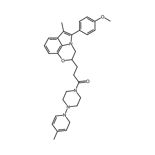 COc1ccc(-c2c(C)c3cccc4c3n2CC(CCC(=O)N2CCN(N3C=CC(C)=CC3)CC2)O4)cc1